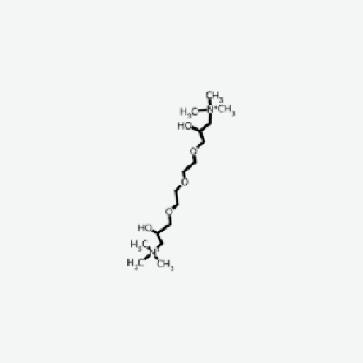 C[N+](C)(C)CC(O)COCCOCCOCC(O)C[N+](C)(C)C